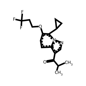 CC(C)C(=O)c1cnn2c(C3CC3)c(OCCC(F)(F)F)ccc12